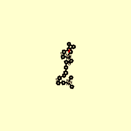 c1ccc(-c2nc(-c3ccccc3)nc(-c3ccc(-c4cccc5sc6ccc(-c7ccc8ccc(-c9ccc(-c%10cccc%11c%10oc%10cccc(-c%12nc(-c%13ccccc%13)nc(-c%13cccc%14sc%15ccc(-c%16ccc%17c%18ccccc%18c%18ccccc%18c%17c%16)cc%15c%13%14)n%12)c%10%11)cc9)cc8c7)cc6c45)cc3)n2)cc1